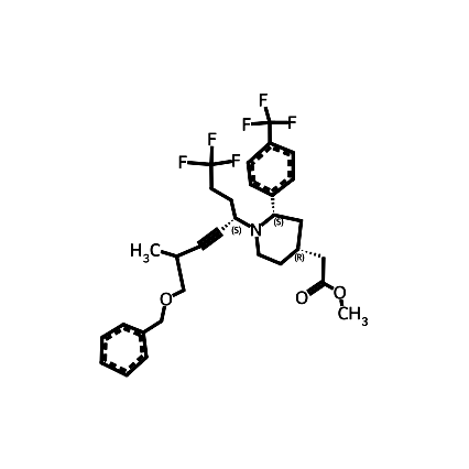 COC(=O)C[C@@H]1CCN([C@H](C#CC(C)COCc2ccccc2)CCC(F)(F)F)[C@H](c2ccc(C(F)(F)F)cc2)C1